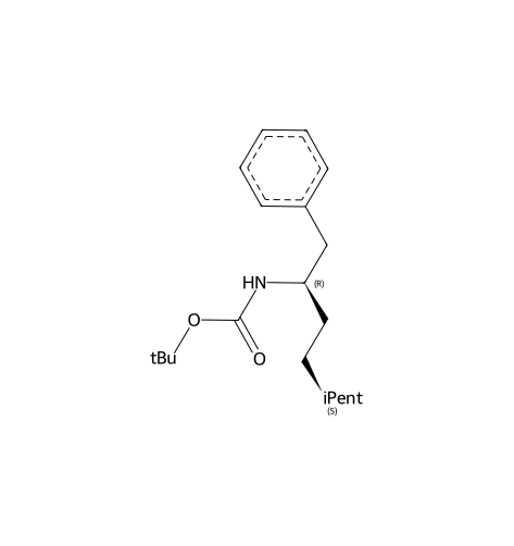 CCC[C@H](C)CC[C@H](Cc1ccccc1)NC(=O)OC(C)(C)C